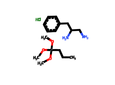 CCC[Si](OC)(OC)OC.Cl.NCC(N)Cc1ccccc1